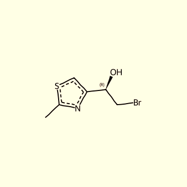 Cc1nc([C@@H](O)CBr)cs1